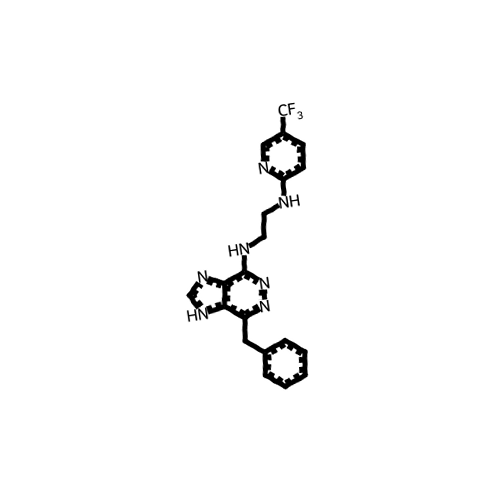 FC(F)(F)c1ccc(NCCNc2nnc(Cc3ccccc3)c3[nH]cnc23)nc1